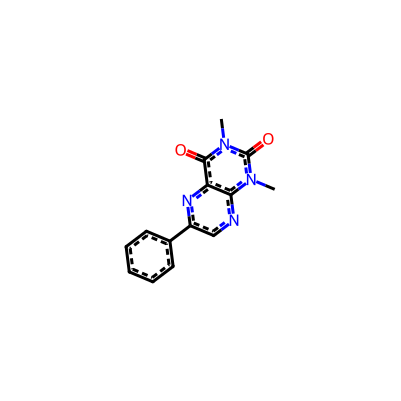 Cn1c(=O)c2nc(-c3ccccc3)cnc2n(C)c1=O